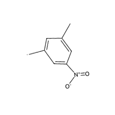 [CH2]c1cc(C)cc([N+](=O)[O-])c1